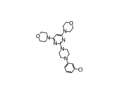 Clc1cccc(N2CCN(c3nc(N4CCOCC4)cc(N4CCOCC4)n3)CC2)c1